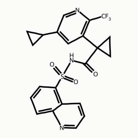 O=C(NS(=O)(=O)c1cccc2ncccc12)C1(c2cc(C3CC3)cnc2C(F)(F)F)CC1